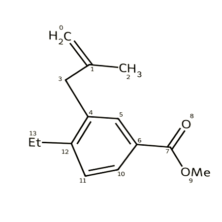 C=C(C)Cc1cc(C(=O)OC)ccc1CC